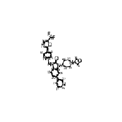 O=c1n(Cc2ccc(-c3nnc(C(F)F)o3)cn2)c2ccc(-c3cccnc3)cc2n1C1CCN(C2COC2)CC1